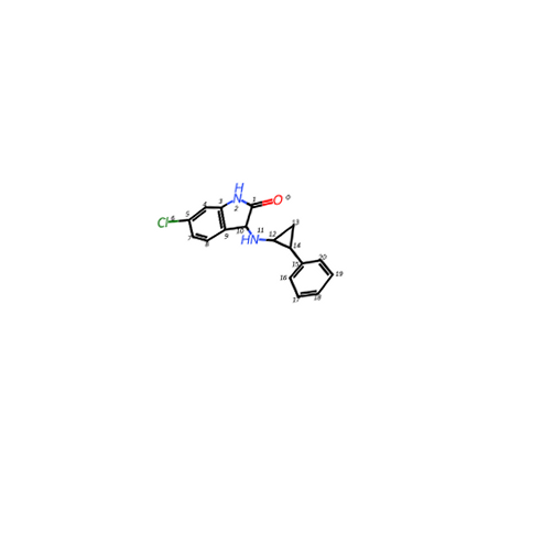 O=C1Nc2cc(Cl)ccc2C1NC1CC1c1ccccc1